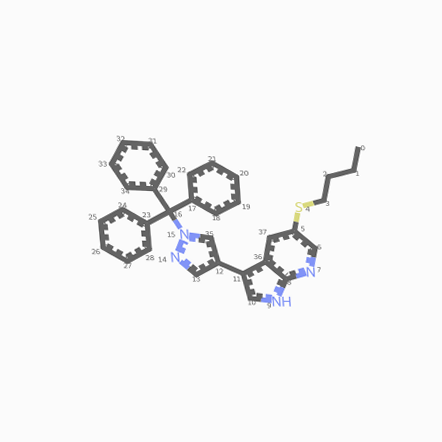 CCCCSc1cnc2[nH]cc(-c3cnn(C(c4ccccc4)(c4ccccc4)c4ccccc4)c3)c2c1